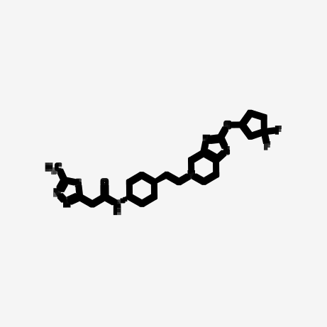 Cc1nnc(CC(=O)N[C@H]2CC[C@H](CCN3CCc4sc(OC5CCC(F)(F)C5)nc4C3)CC2)s1